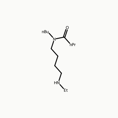 CCCCN(CCCCNCC)C(=O)CCC